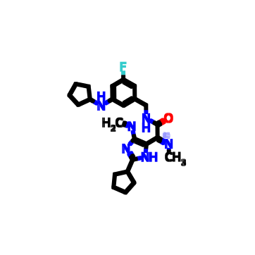 C=Nc1nc(C2CCCC2)[nH]c1/C(=N\C)C(=O)NCc1cc(F)cc(NC2CCCC2)c1